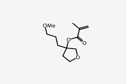 C=C(C)C(=O)OC1(CCCOC)CCOC1